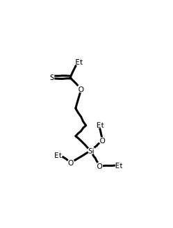 CCO[Si](CCCOC(=S)CC)(OCC)OCC